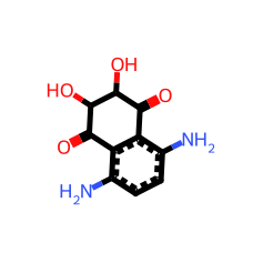 Nc1ccc(N)c2c1C(=O)C(O)C(O)C2=O